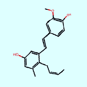 C/C=C\Cc1c(C)cc(O)cc1/C=C/c1ccc(O)c(OC)c1